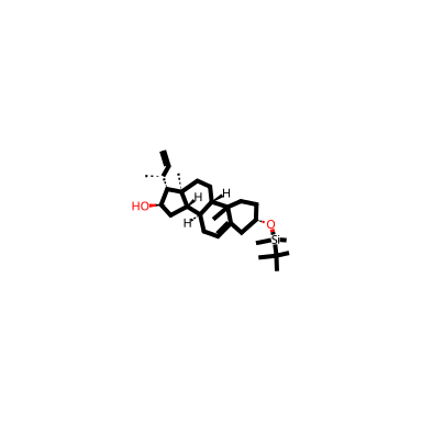 C=C[C@@H](C)[C@H]1[C@H](O)C[C@H]2[C@@H]3CC=C4C[C@@H](O[Si](C)(C)C(C)(C)C)CCC4(C)[C@H]3CC[C@]12C